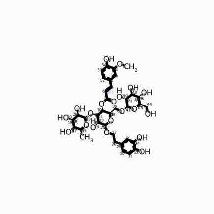 COc1cc(/C=C/C(=O)O[C@H]2[C@H](O[C@@H]3O[C@@H](C)[C@H](O)[C@@H](O)[C@H]3O)[C@@H](O)[C@H](OCCc3ccc(O)c(O)c3)O[C@@H]2CO[C@@H]2O[C@H](CO)[C@@H](O)[C@H](O)[C@H]2O)ccc1O